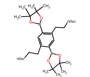 CCCCCCCCCCCCc1cc(B2OC(C)(C)C(C)(C)O2)c(CCCCCCCCCCCC)cc1B1OC(C)(C)C(C)(C)O1